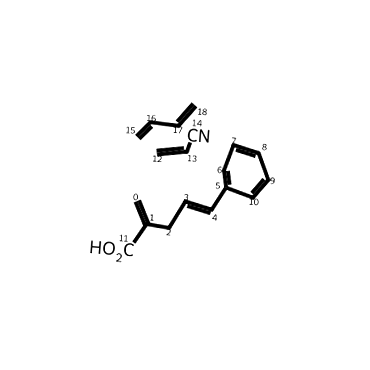 C=C(CC=Cc1ccccc1)C(=O)O.C=CC#N.C=CC=C